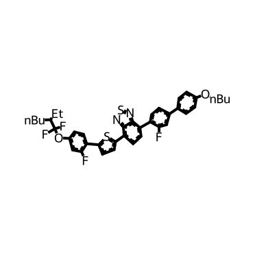 CCCCOc1ccc(-c2ccc(-c3ccc(-c4ccc(-c5ccc(OC(F)(F)C(CC)CCCC)cc5F)s4)c4nsnc34)c(F)c2)cc1